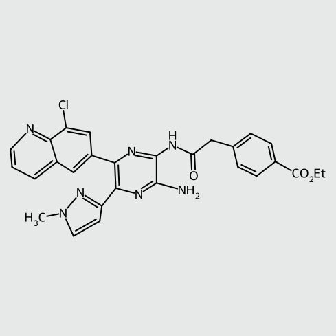 CCOC(=O)c1ccc(CC(=O)Nc2nc(-c3cc(Cl)c4ncccc4c3)c(-c3ccn(C)n3)nc2N)cc1